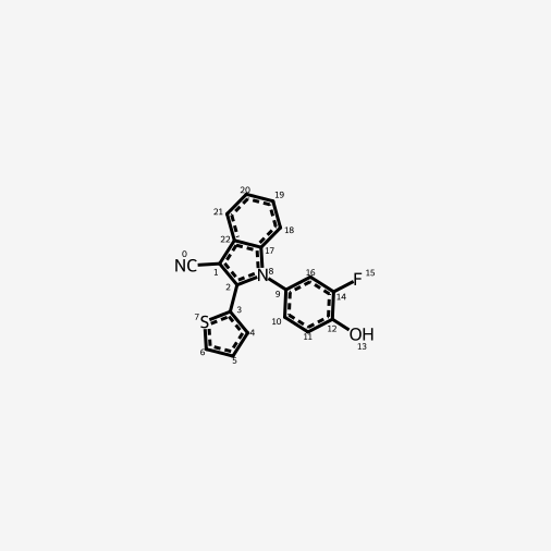 N#Cc1c(-c2cccs2)n(-c2ccc(O)c(F)c2)c2ccccc12